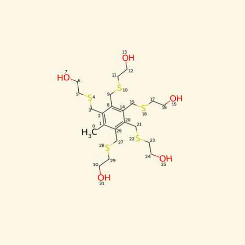 Cc1c(CSCCO)c(CSCCO)c(CSCCO)c(CSCCO)c1CSCCO